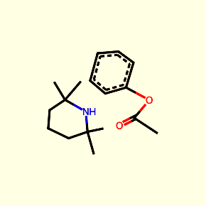 CC(=O)Oc1ccccc1.CC1(C)CCCC(C)(C)N1